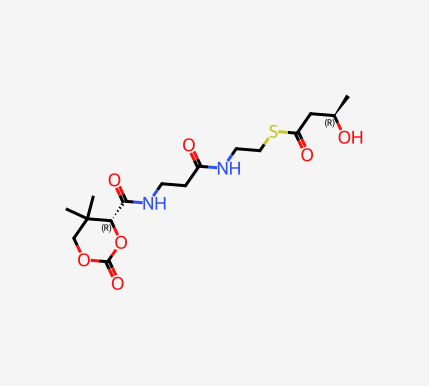 C[C@@H](O)CC(=O)SCCNC(=O)CCNC(=O)[C@@H]1OC(=O)OCC1(C)C